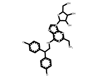 NCc1nc(NCC(c2ccc(Cl)cc2)c2ccc(Cl)cc2)c2ncn(C3OC(CO)C(O)C3O)c2n1